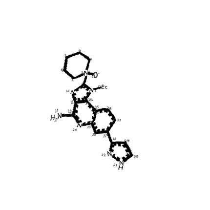 CCn1c([N+]2([O-])CCCCC2)nc2c(N)nc3cc(-c4cc[nH]n4)ccc3c21